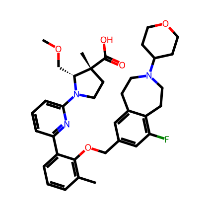 COC[C@H]1N(c2cccc(-c3cccc(C)c3OCc3cc(F)c4c(c3)CCN(C3CCOCC3)CC4)n2)CC[C@@]1(C)C(=O)O